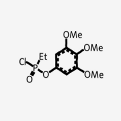 CCP(=O)(Cl)Oc1cc(OC)c(OC)c(OC)c1